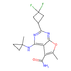 Cc1oc2nc(C3CC(F)(F)C3)nc(NC3(C)CC3)c2c1C(N)=O